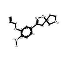 C=CCOc1cc(C2=NOC3(CCOC3)C2)ccc1OC